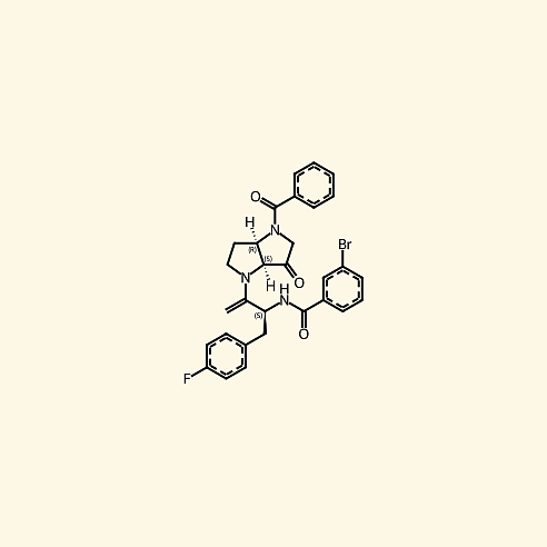 C=C([C@H](Cc1ccc(F)cc1)NC(=O)c1cccc(Br)c1)N1CC[C@@H]2[C@H]1C(=O)CN2C(=O)c1ccccc1